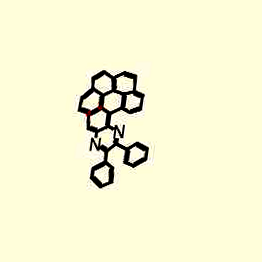 c1ccc(-c2nc3cccc(-c4cccc5ccc6ccc7ccccc7c6c45)c3nc2-c2ccccc2)cc1